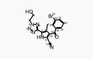 Cc1c(-c2nnn(CCO)n2)[nH]c(C#N)c1C(=O)c1cccc(Br)c1